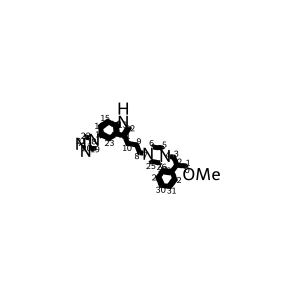 COCC(CN1CCN(CCCc2c[nH]c3ccc(-n4cnnc4)cc23)CC1)c1ccccc1